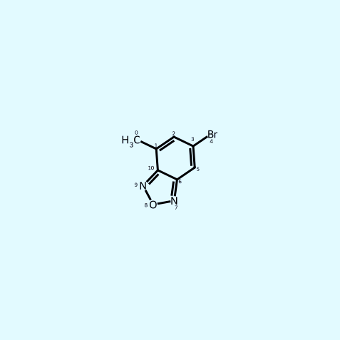 Cc1cc(Br)cc2nonc12